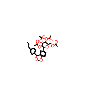 CCCc1ccc(C2OCOc3ccc(C4OC(COC(C)=O)C(OC(C)=O)C(OC(C)=O)C4OC(C)=O)cc32)cc1